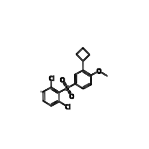 COc1ccc(S(=O)(=O)c2c(Cl)[c]ccc2Cl)cc1C1CCC1